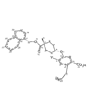 COCc1cc(F)c(O[C@H]2CC[C@@](C)(C(=O)OCc3cccc4ccccc34)CC2)cc1C(=O)O